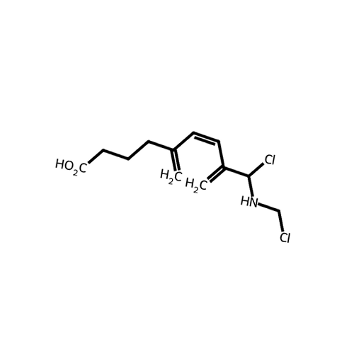 C=C(/C=C\C(=C)C(Cl)NCCl)CCCC(=O)O